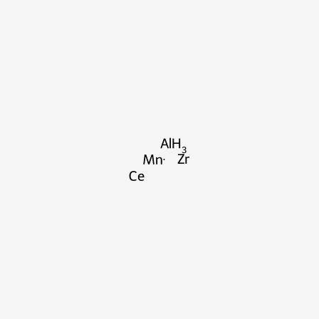 [AlH3].[Ce].[Mn].[Zr]